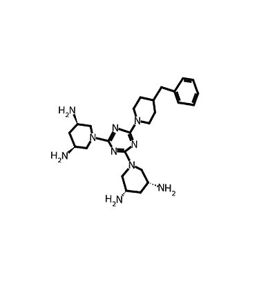 N[C@@H]1C[C@H](N)CN(c2nc(N3CCC(Cc4ccccc4)CC3)nc(N3C[C@H](N)C[C@H](N)C3)n2)C1